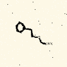 COCOCCc1ccccc1